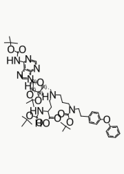 CC(C)(C)OC(=O)Nc1ncnc2c1ncn2[C@@H]1O[C@H](CN(CCCN(CCc2ccc(Oc3ccccc3)cc2)C(=O)OC(C)(C)C)CCC(NC(=O)OC(C)(C)C)C(=O)O)[C@H]2OC(C)(C)O[C@H]21